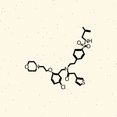 C=C(C)CNS(=O)(=O)c1ccc(CCN(Cc2cc(Cl)ccc2OCCN2CCOCC2)C(=O)Cc2ccsc2)cc1